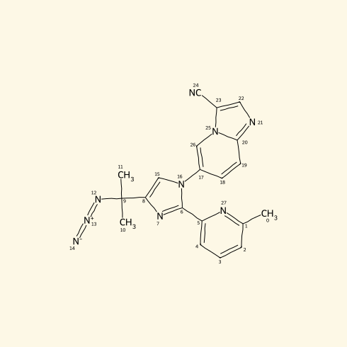 Cc1cccc(-c2nc(C(C)(C)N=[N+]=[N-])cn2-c2ccc3ncc(C#N)n3c2)n1